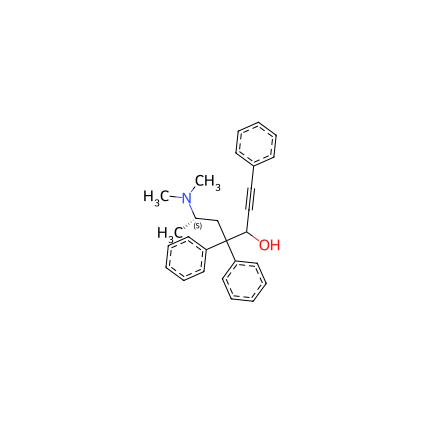 C[C@@H](CC(c1ccccc1)(c1ccccc1)C(O)C#Cc1ccccc1)N(C)C